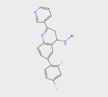 CCNC1CC(c2cccnc2)=Nc2ccc(-c3ccc(F)cc3F)cc21